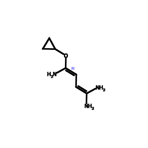 NC(N)=C/C=C(\N)OC1CC1